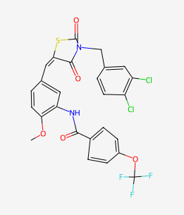 COc1ccc(/C=C2/SC(=O)N(Cc3ccc(Cl)c(Cl)c3)C2=O)cc1NC(=O)c1ccc(OC(F)(F)F)cc1